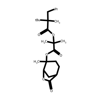 CC(C)CC(C)(C(=O)OC(C)(C)C(=O)OC1(C)CCC2CC1OC2=O)C(C)(C)C